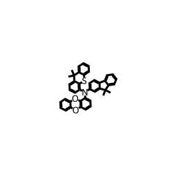 CC1(C)c2ccccc2-c2ccc(N(c3cccc4c3Oc3ccccc3O4)c3cccc4c3Sc3ccccc3C4(C)C)cc21